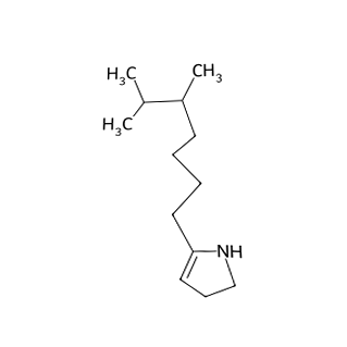 CC(C)C(C)CCCCC1=CCCN1